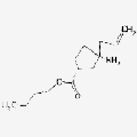 C=CCC1(N)CC[C@@H](C(=O)OCCCC)C1